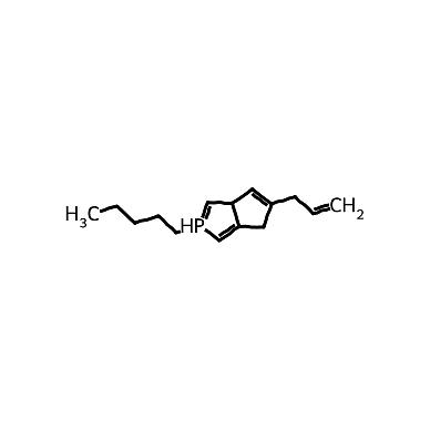 C=CCC1=CC2C=[PH](CCCCC)C=C2C1